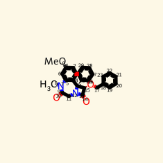 COc1ccc2c(c1)N(C)C(=O)CN1C(=O)[C@@H](OCc3ccccc3)[C@]21c1ccccc1